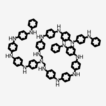 c1ccc(Nc2ccc(Nc3ccc(Nc4ccc(Nc5ccc(NCN(CNc6ccc(Nc7ccc(Nc8ccc(Nc9ccc(Nc%10ccccc%10)cc9)cc8)cc7)cc6)c6ccc(Nc7ccc(Nc8ccc(Nc9ccc(Nc%10ccccc%10)cc9)cc8)cc7)cc6)cc5)cc4)cc3)cc2)cc1